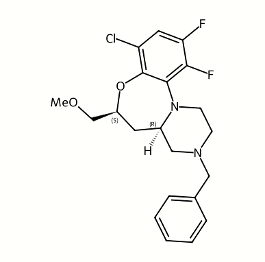 COC[C@@H]1C[C@@H]2CN(Cc3ccccc3)CCN2c2c(F)c(F)cc(Cl)c2O1